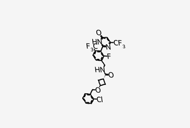 O=c1cc(C(F)(F)F)nc(-c2c(C(F)(F)F)ccc(CNC(=O)[C@H]3C[C@H](OCc4ccccc4Cl)C3)c2F)[nH]1